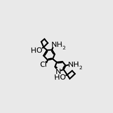 Nc1cc(-c2cnc(C3(O)CCC3)c(N)c2)c(Cl)cc1C1(O)CCC1